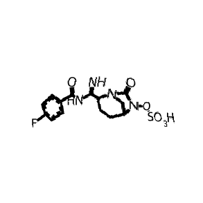 N=C(NC(=O)c1ccc(F)cc1)C1CCC2CN1C(=O)N2OS(=O)(=O)O